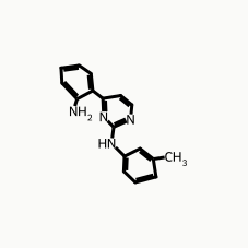 Cc1cccc(Nc2nccc(-c3ccccc3N)n2)c1